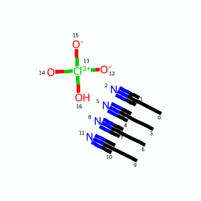 CC#N.CC#N.CC#N.CC#N.[O-][Cl+3]([O-])([O-])O